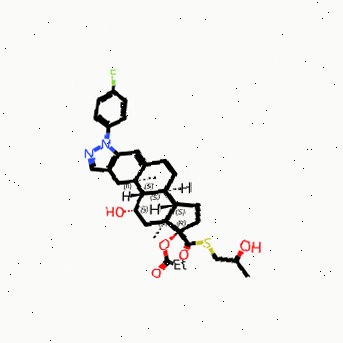 CCC(=O)O[C@]1(C(=O)SCC(C)O)CC[C@H]2[C@@H]3CCC4=Cc5c(cnn5-c5ccc(F)cc5)C[C@]4(C)[C@H]3[C@@H](O)C[C@@]21C